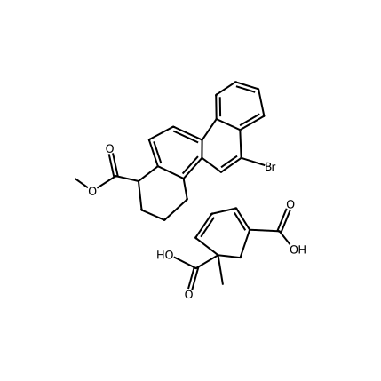 CC1(C(=O)O)C=CC=C(C(=O)O)C1.COC(=O)C1CCCc2c1ccc1c2cc(Br)c2ccccc21